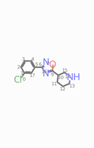 Clc1cccc(-c2noc(C3CCCNC3)n2)c1